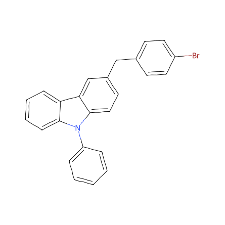 Brc1ccc(Cc2ccc3c(c2)c2ccccc2n3-c2ccccc2)cc1